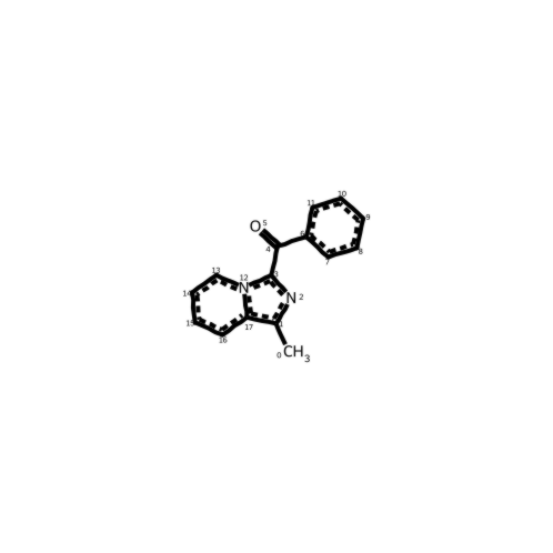 Cc1nc(C(=O)c2ccccc2)n2ccccc12